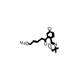 COCCCCC(=O)c1cc(Cl)ccc1C1=NC(C)(C)CO1